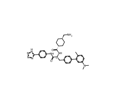 Cc1ccc(N(C)C)cc1-c1ccc(C[C@H](NC(=O)[C@H]2CC[C@H](CN)CC2)C(=O)Nc2ccc(-c3nnn[nH]3)cc2)cc1